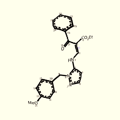 CCOC(=O)/C(=C/Nc1ccnn1Cc1ccc(OC)cc1)C(=O)c1ccccc1